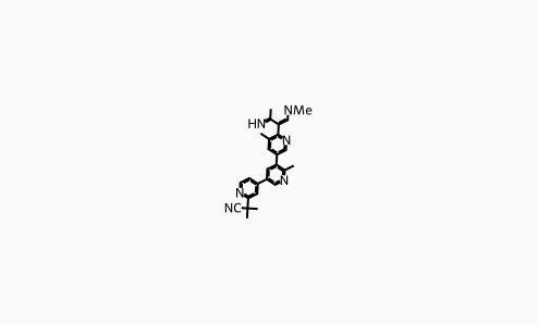 CN/C=C(\C(C)=N)c1ncc(-c2cc(-c3ccnc(C(C)(C)C#N)c3)cnc2C)cc1C